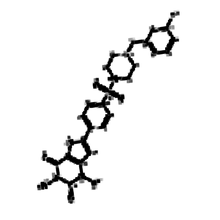 CCCn1c(=O)c2[nH]c(-c3ccc(S(=O)(=O)N4CCN(Cc5cccc(F)c5)CC4)cc3)cc2n(CCC)c1=O